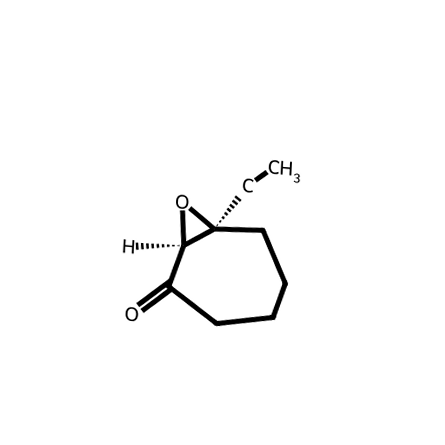 CC[C@]12CCCCC(=O)[C@H]1O2